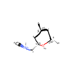 [C-]#[N+]C[C@@H]1C[C@@H](C)C[C@H](C)O1